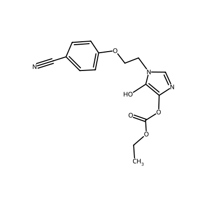 CCOC(=O)Oc1ncn(CCOc2ccc(C#N)cc2)c1O